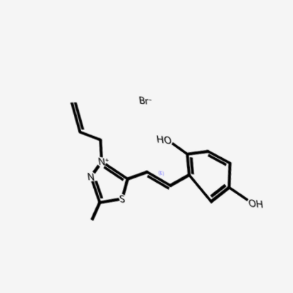 C=CC[n+]1nc(C)sc1/C=C/c1cc(O)ccc1O.[Br-]